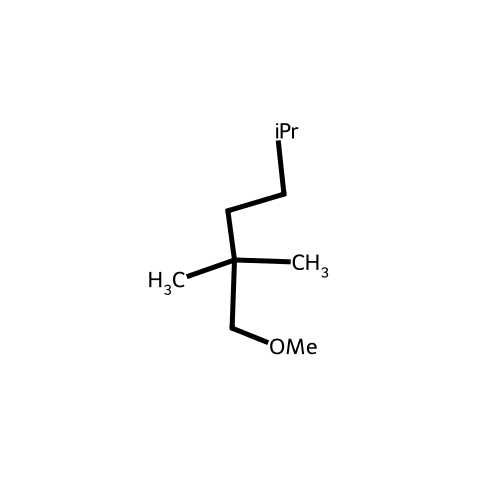 COCC(C)(C)CCC(C)C